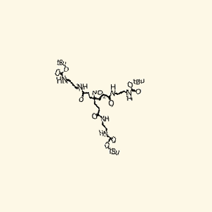 CC(C)(C)OC(=O)NCCNC(=O)CCC(CCC(=O)NCCNC(=O)OC(C)(C)C)(CCC(=O)NCCNC(=O)OC(C)(C)C)[N+](=O)[O-]